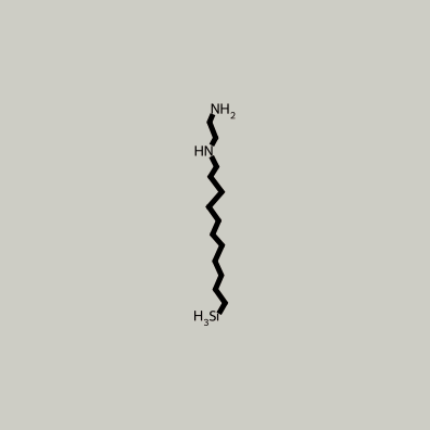 NCCNCCCCCCCCCCC[SiH3]